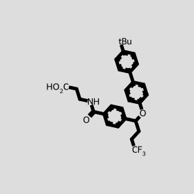 CC(C)(C)c1ccc(-c2ccc(OC(CCC(F)(F)F)c3ccc(C(=O)NCCC(=O)O)cc3)cc2)cc1